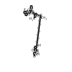 C#Cc1c(F)ccc2cccc(-c3ncc4c(N5CC6CCC(C5)N6)nc(OCC56CC[C@@H](COC(=O)N(C)CCOCCOCCOCCOCCOCCOCCOCCNc7ccc8c(c7)C(=O)N(C7CCC(=O)NC7=O)C8=O)N5CC(=C)C6)nc4c3F)c12